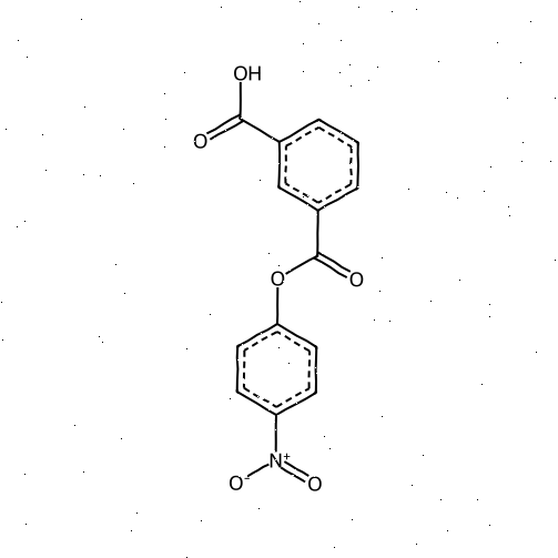 O=C(O)c1cccc(C(=O)Oc2ccc([N+](=O)[O-])cc2)c1